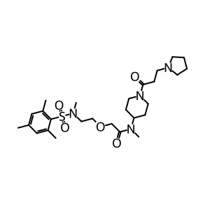 Cc1cc(C)c(S(=O)(=O)N(C)CCOCC(=O)N(C)C2CCN(C(=O)CCN3CCCC3)CC2)c(C)c1